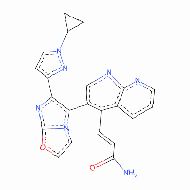 NC(=O)/C=C/c1c(-c2c(-c3ccn(C4CC4)n3)nc3occn23)cnc2ncccc12